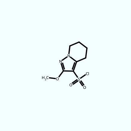 COc1nn2c(c1S(=O)(=O)Cl)CCCC2